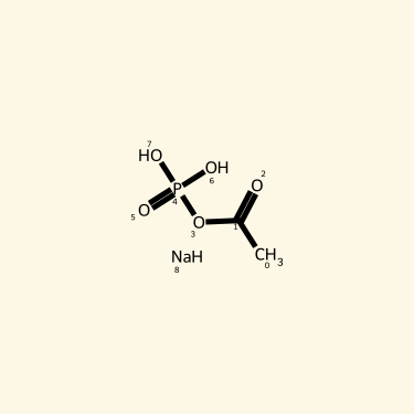 CC(=O)OP(=O)(O)O.[NaH]